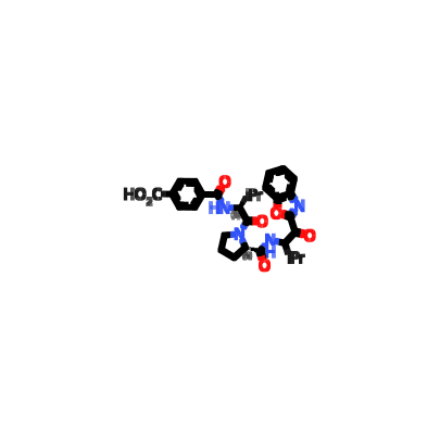 CC(C)C(NC(=O)[C@@H]1CCCN1C(=O)[C@@H](NC(=O)c1ccc(C(=O)O)cc1)C(C)C)C(=O)c1nc2ccccc2o1